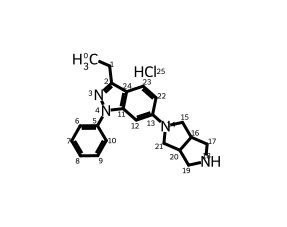 CCc1nn(-c2ccccc2)c2cc(N3CC4CNCC4C3)ccc12.Cl